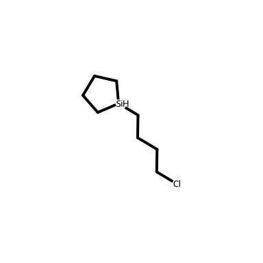 ClCCCC[SiH]1CCCC1